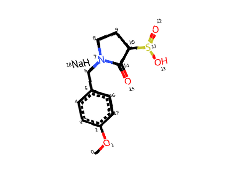 COc1ccc(CN2CCC(S(=O)O)C2=O)cc1.[NaH]